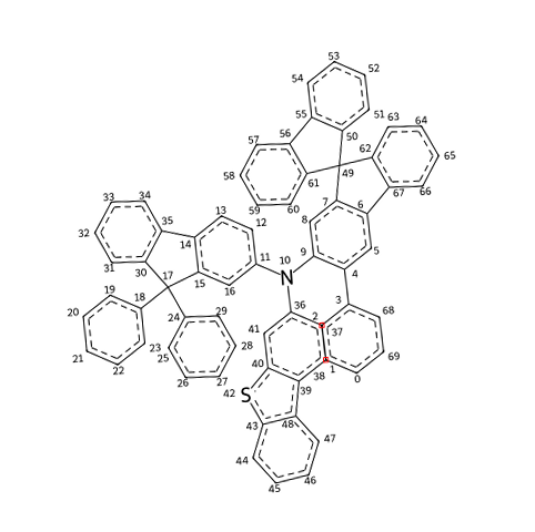 c1ccc(-c2cc3c(cc2N(c2ccc4c(c2)C(c2ccccc2)(c2ccccc2)c2ccccc2-4)c2ccc4c(c2)sc2ccccc24)C2(c4ccccc4-c4ccccc42)c2ccccc2-3)cc1